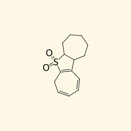 O=S1(=O)C2=C(C=CC=CC2)C2CCCCCC21